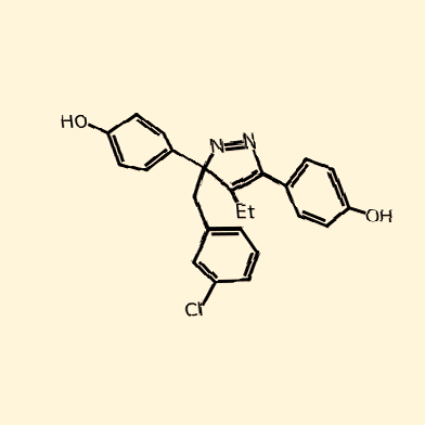 CCC1=C(c2ccc(O)cc2)N=NC1(Cc1cccc(Cl)c1)c1ccc(O)cc1